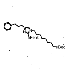 CCCCCCCCCCCCCCCCCCn1cc(CCCc2ccccc2)nc1CCCCC